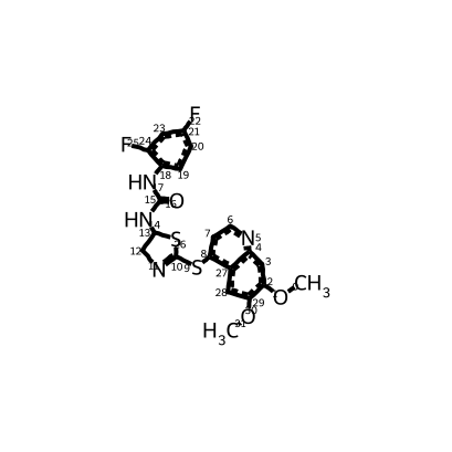 COc1cc2nccc(SC3=NCC(NC(=O)Nc4ccc(F)cc4F)S3)c2cc1OC